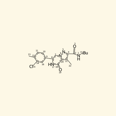 CCC(C)NC(=O)c1nn2cc(-c3ccc(C)c(Cl)c3)[nH]c(=O)c2c1C